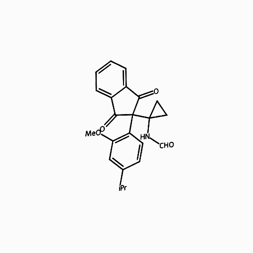 COc1cc(C(C)C)ccc1C1(C2(NC=O)CC2)C(=O)c2ccccc2C1=O